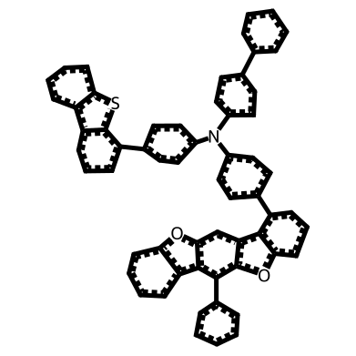 c1ccc(-c2ccc(N(c3ccc(-c4cccc5c4sc4ccccc45)cc3)c3ccc(-c4cccc5oc6c(-c7ccccc7)c7c(cc6c45)oc4ccccc47)cc3)cc2)cc1